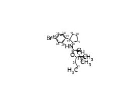 CCCC(OC(=O)NC1CCCC1c1ccc(Br)cc1)C(C)(C)C